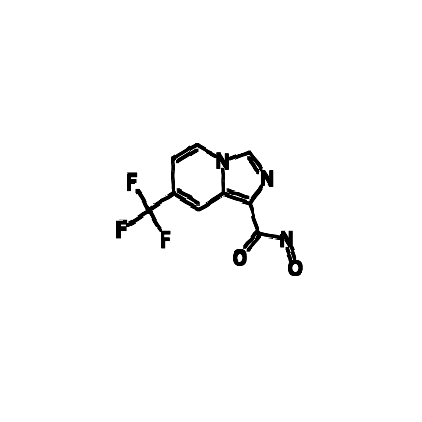 O=NC(=O)c1ncn2ccc(C(F)(F)F)cc12